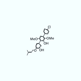 COc1cc(-c2ccc(Cl)cc2)c(OC)c(O)c1-c1ccc(OCC=C(C)C)c(O)c1